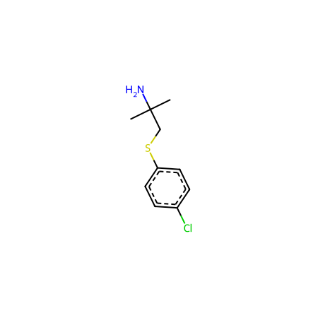 CC(C)(N)CSc1ccc(Cl)cc1